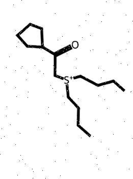 CCCC[S+](CCCC)CC(=O)C1CCCC1